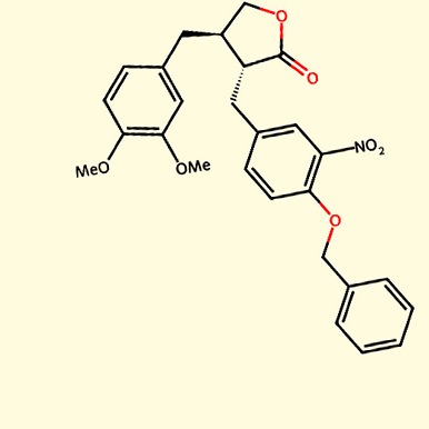 COc1ccc(C[C@H]2COC(=O)[C@@H]2Cc2ccc(OCc3ccccc3)c([N+](=O)[O-])c2)cc1OC